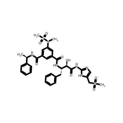 C[C@@H](NC(=O)c1cc(C(=O)N[C@@H](Cc2ccccc2)[C@@H](O)C(=O)Nc2ncc(CS(C)(=O)=O)[nH]2)cc(N(C)S(C)(=O)=O)c1)c1ccccc1